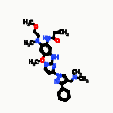 C=CC(=O)Nc1cc(Nc2nccc(-n3cc(CN(C)C)c(-c4ccccc4)n3)n2)c(OC)cc1N(C)CCOC